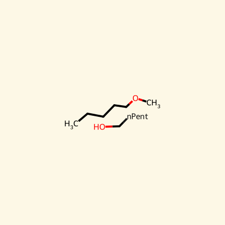 CCCCCCO.CCCCCOC